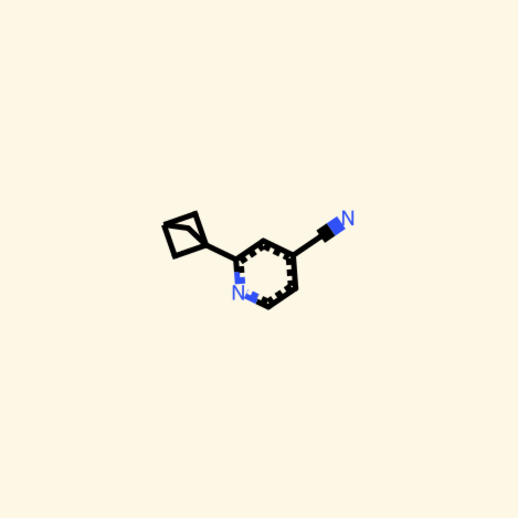 N#Cc1ccnc(C23CC(C2)C3)c1